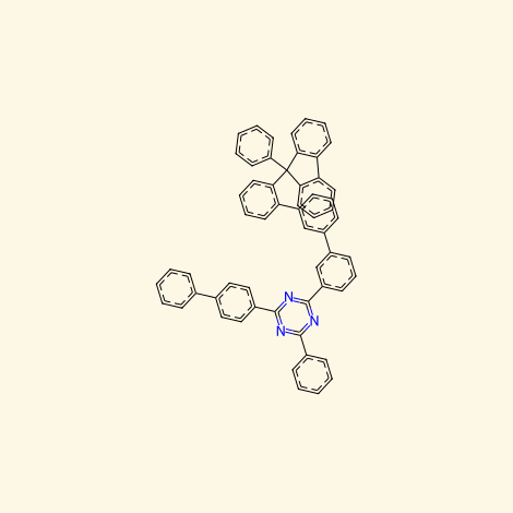 c1ccc(-c2ccc(-c3nc(-c4ccccc4)nc(-c4cccc(-c5cccc(-c6ccccc6C6(c7ccccc7)c7ccccc7-c7ccccc76)c5)c4)n3)cc2)cc1